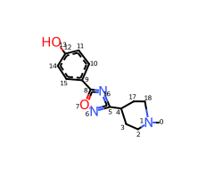 CN1CCC(c2noc(-c3ccc(O)cc3)n2)CC1